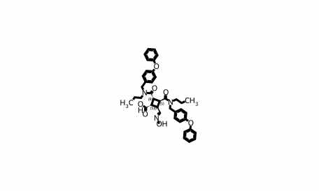 CCCN(Cc1ccc(Oc2ccccc2)cc1)C(=O)[C@H]1[C@@H](C(=O)O)[C@H](C=NO)[C@@H]1C(=O)N(CCC)Cc1ccc(Oc2ccccc2)cc1